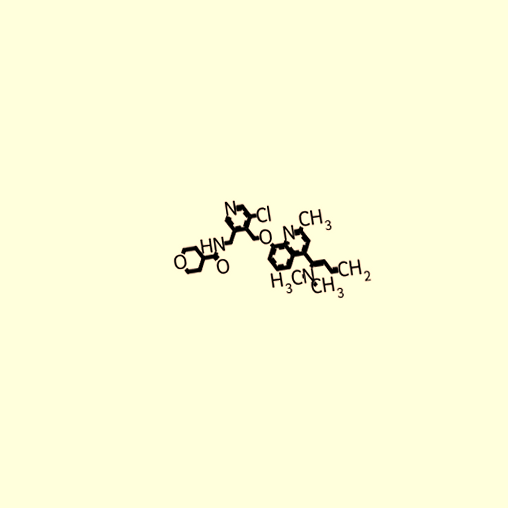 C=C/C=C(/c1cc(C)nc2c(OCc3c(Cl)cncc3CNC(=O)C3CCOCC3)cccc12)N(C)C